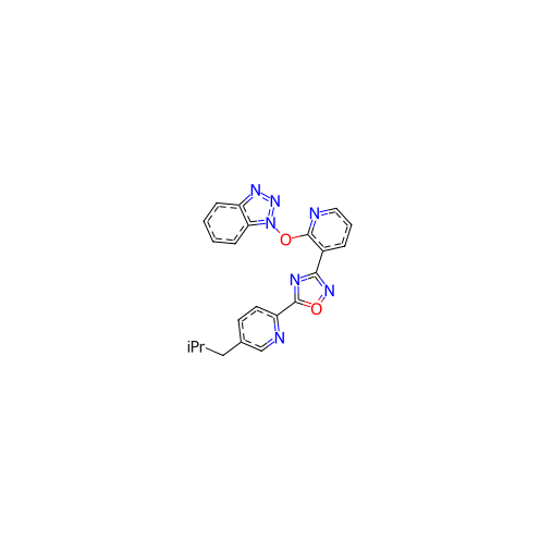 CC(C)Cc1ccc(-c2nc(-c3cccnc3On3nnc4ccccc43)no2)nc1